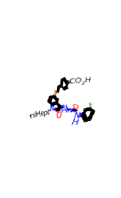 CCCCCCCN1C(=O)/C(=N\NC(=O)Nc2cccc(F)c2)c2cc(SCCc3ccc(C(=O)O)cc3)ccc21